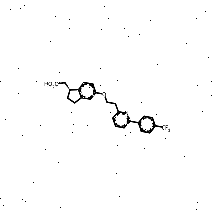 O=C(O)C[C@@H]1CCc2cc(OCCc3cccc(-c4ccc(C(F)(F)F)cc4)n3)ccc21